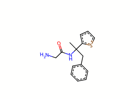 CC(Cc1ccccc1)(NC(=O)CN)c1cccs1